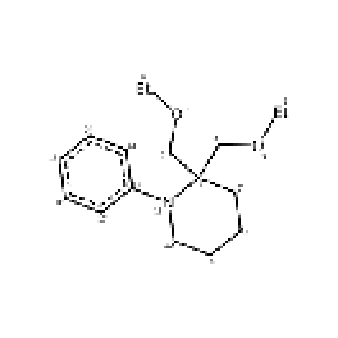 CCOCC1(COCC)CCCCN1c1ccccc1